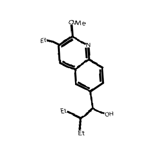 CCc1cc2cc(C(O)C(CC)CC)ccc2nc1OC